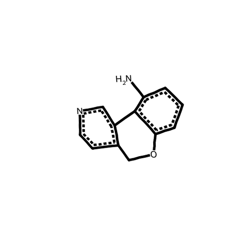 Nc1cccc2c1-c1cnccc1CO2